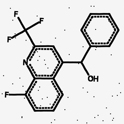 OC(c1ccccc1)c1cc(C(F)(F)F)nc2c(F)cccc12